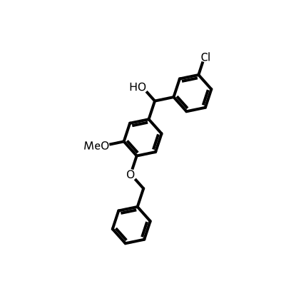 COc1cc(C(O)c2cccc(Cl)c2)ccc1OCc1ccccc1